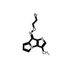 Cc1csc2c1-n1cccc1C2=NOCCBr